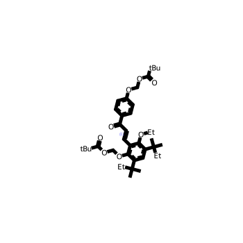 CCOc1c(C(C)(C)CC)cc(C(C)(C)CC)c(OCOC(=O)C(C)(C)C)c1/C=C/C(=O)c1ccc(OCOC(=O)C(C)(C)C)cc1